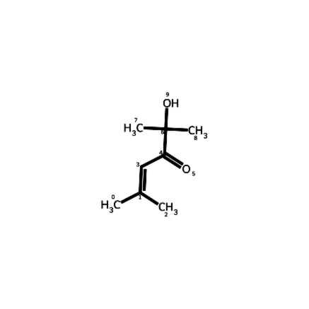 CC(C)=CC(=O)C(C)(C)O